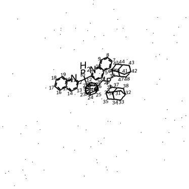 PC(c1ccc2ccccc2n1)(c1ccc2ccccc2n1)[C]12[CH]3[CH]4[CH]5[C]1(CP(C1C6CC7CC(C6)CC1C7)C1C6CC7CC(C6)CC1C7)[Fe]45321678[CH]2[CH]1[CH]6[CH]7[CH]28